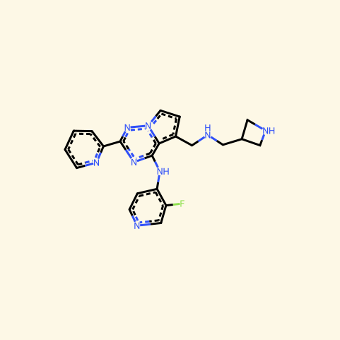 Fc1cnccc1Nc1nc(-c2ccccn2)nn2ccc(CNCC3CNC3)c12